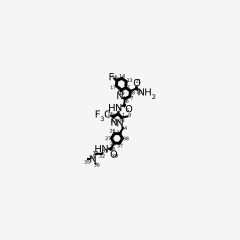 Cc1c(NC(=O)c2cc(C(N)=O)c3ccc(F)cc3n2)c(C(F)(F)F)nn1Cc1ccc(C(=O)NCCN(C)C)cc1